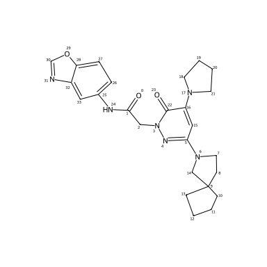 O=C(Cn1nc(N2CCC3(CCCC3)C2)cc(N2CCCC2)c1=O)Nc1ccc2ocnc2c1